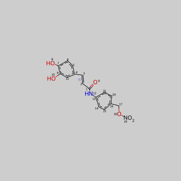 O=C(/C=C/c1ccc(O)c(O)c1)Nc1ccc(CO[N+](=O)[O-])cc1